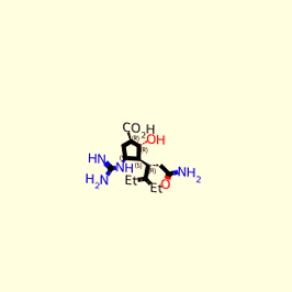 CCC(CC)[C@@H](CC(N)=O)[C@@H]1[C@@H](O)[C@H](C(=O)O)C[C@@H]1NC(=N)N